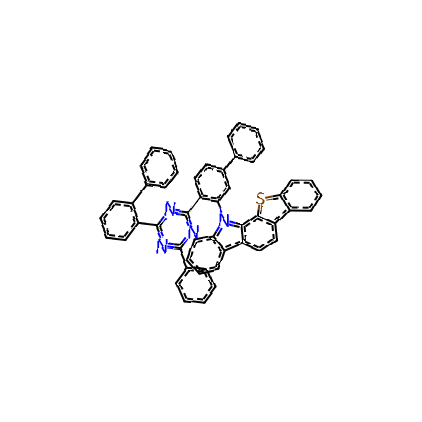 c1ccc(-c2ccc(-c3nc(-c4ccccc4)nc(-c4ccccc4-c4ccccc4)n3)c(-n3c4ccccc4c4ccc5c6ccccc6sc5c43)c2)cc1